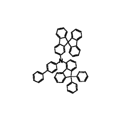 c1ccc(-c2ccc(N(c3ccc4c(c3)C3(c5ccccc5-c5ccccc53)c3ccccc3-4)c3cccc4c3-c3ccccc3C4(c3ccccc3)c3ccccc3)cc2)cc1